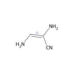 N#C/C(N)=C\N